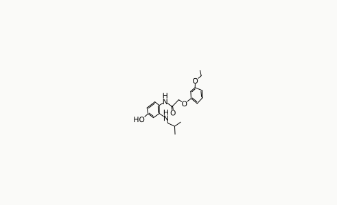 CCOc1cccc(OCC(=O)Nc2ccc(O)cc2NCC(C)C)c1